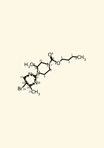 CCCCOC(=O)N1CCN(c2ncc(Br)c(C)n2)C(C)C1